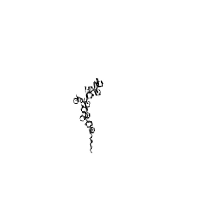 CCCCCCCCOc1ccc(C(=O)Oc2ccc(CN(CC(C)=O)C(=O)c3ccc(NC(=O)c4cccc(C)n4)cc3)cc2)cc1